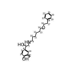 Oc1ccc(C(O)CNCCCCCCOCCc2ccccc2)cc1F